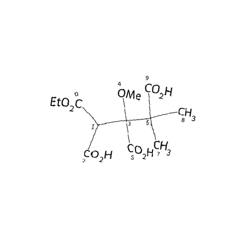 CCOC(=O)C(C(=O)O)C(OC)(C(=O)O)C(C)(C)C(=O)O